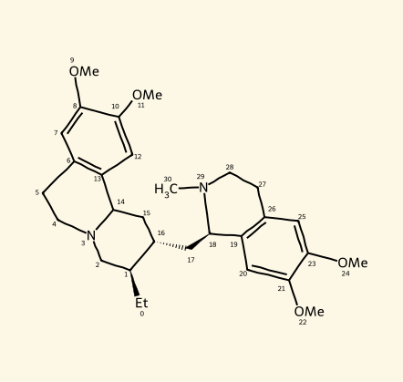 CC[C@H]1CN2CCc3cc(OC)c(OC)cc3C2C[C@@H]1C[C@@H]1c2cc(OC)c(OC)cc2CCN1C